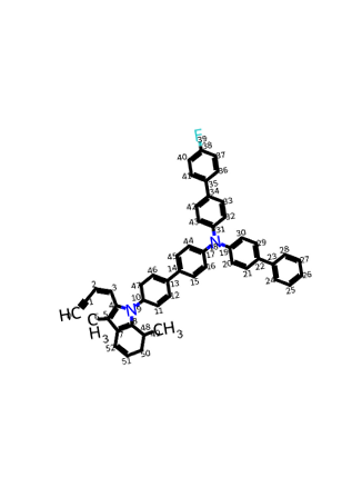 C#C/C=C\c1c(C)c2c(n1C1C=CC(c3ccc(N(c4ccc(-c5ccccc5)cc4)c4ccc(-c5ccc(F)cc5)cc4)cc3)=CC1)C(C)CC=C2